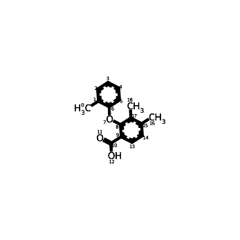 Cc1ccccc1Oc1c(C(=O)O)ccc(C)c1C